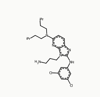 CC(C)CCN(CCC(C)C)c1ccc2nc(Nc3cc(Cl)cc(Cl)c3)n(CCCN)c2n1